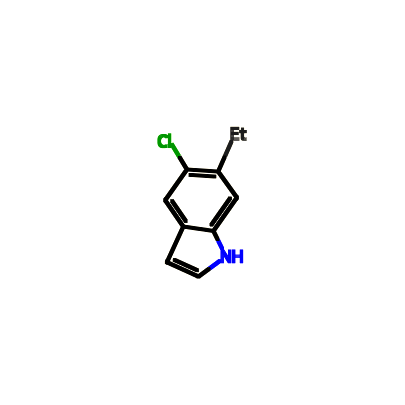 CCc1cc2[nH]ccc2cc1Cl